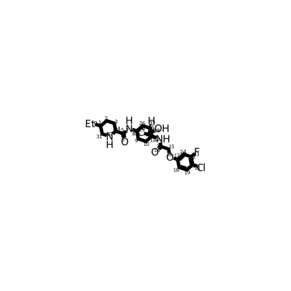 CCC1CCC(C(=O)NC23CCC(NC(=O)COc4ccc(Cl)c(F)c4)(CC2)[C@@H](O)C3)NC1